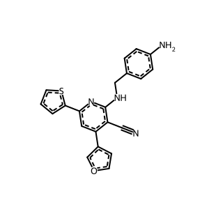 N#Cc1c(-c2ccoc2)cc(-c2cccs2)nc1NCc1ccc(N)cc1